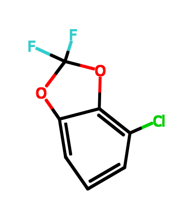 FC1(F)Oc2cccc(Cl)c2O1